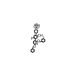 Cc1cc(-c2ccc(OCc3ccccc3)nc2OCc2ccccc2)c(F)cc1N1CCN(C(=O)OC(C)(C)C)CC1